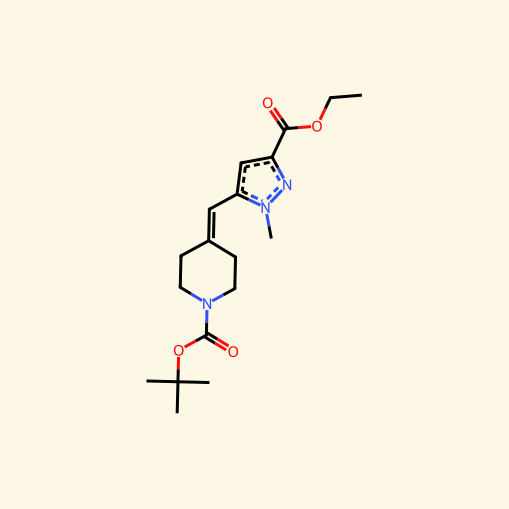 CCOC(=O)c1cc(C=C2CCN(C(=O)OC(C)(C)C)CC2)n(C)n1